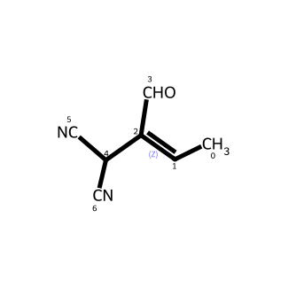 C/C=C(\C=O)C(C#N)C#N